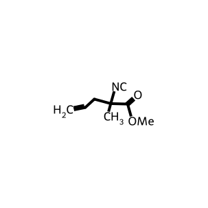 [C-]#[N+]C(C)(CC=C)C(=O)OC